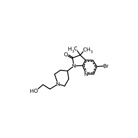 CC1(C)C(=O)N(C2CCN(CCO)CC2)c2ncc(Br)cc21